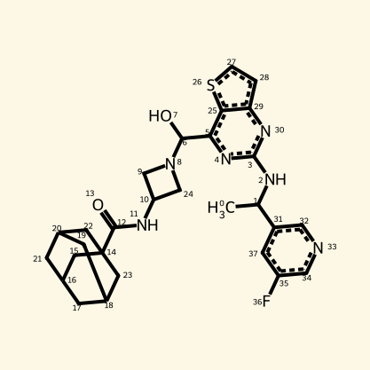 CC(Nc1nc(C(O)N2CC(NC(=O)C34CC5CC(CC(C5)C3)C4)C2)c2sccc2n1)c1cncc(F)c1